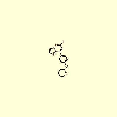 Clc1cc(-c2ccc(OC3CCCCO3)cc2)c2nccn2n1